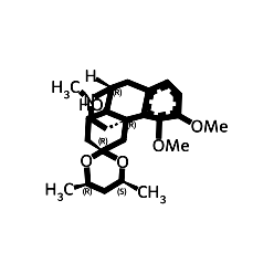 COc1ccc2c(c1OC)[C@]13CCN(C)[C@H](C2)C1(O)CC[C@]1(C3)O[C@H](C)C[C@H](C)O1